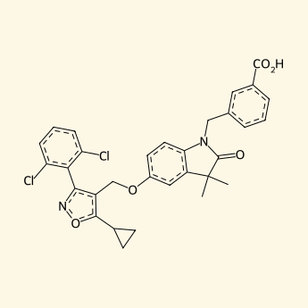 CC1(C)C(=O)N(Cc2cccc(C(=O)O)c2)c2ccc(OCc3c(-c4c(Cl)cccc4Cl)noc3C3CC3)cc21